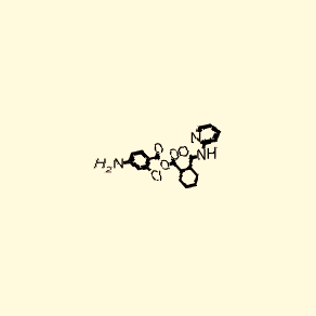 Nc1ccc(C(=O)OC(=O)C2CCCCC2C(=O)Nc2ccccn2)c(Cl)c1